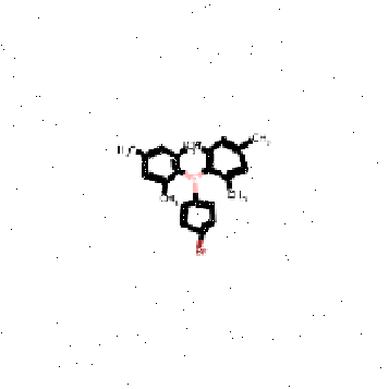 Cc1cc(C)c(B(c2ccc(Br)cc2)c2c(C)cc(C)cc2C)c(C)c1